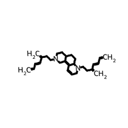 C=CC=CC(=C)CCN1CCC2CCC3C(=C2C1)C=CCN3CCC(=C)C=CC=C